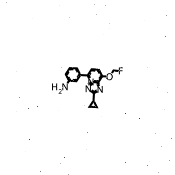 Nc1cccc(-c2ccc(OCF)c3nc(C4CC4)nn23)c1